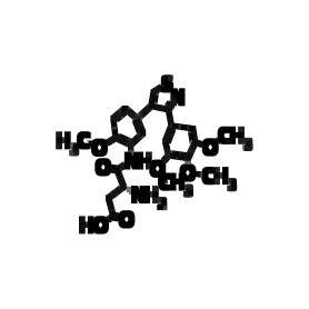 COc1ccc(-c2csnc2-c2cc(OC)c(OC)c(OC)c2)cc1NC(=O)[C@H](N)CC(=O)O